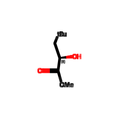 COC(=O)[C@H](O)CC(C)(C)C